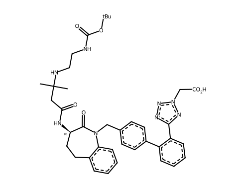 CC(C)(CC(=O)N[C@@H]1CCc2ccccc2N(Cc2ccc(-c3ccccc3-c3nnn(CC(=O)O)n3)cc2)C1=O)NCCNC(=O)OC(C)(C)C